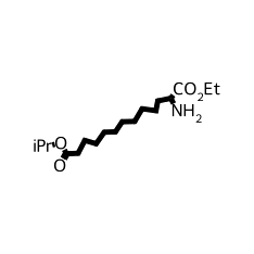 CCOC(=O)C(N)CCCCCCCCCCC(=O)OC(C)C